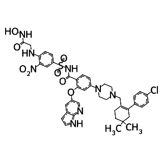 CC1(C)CCC(CN2CCN(c3ccc(C(=O)NS(=O)(=O)c4ccc(NCC(=O)NO)c([N+](=O)[O-])c4)c(Oc4cnc5[nH]ccc5c4)c3)CC2)=C(c2ccc(Cl)cc2)C1